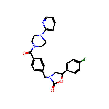 O=C1OC(c2ccc(F)cc2)CN1Cc1ccc(C(=O)N2CCN(c3ccccn3)CC2)cc1